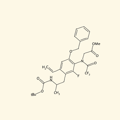 C=Cc1cc(OCc2ccccc2)c(N(CC(=O)OC)C(=O)C(F)(F)F)c(F)c1CC(C)NC(=O)OC(C)(C)C